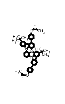 CC1OC1Oc1ccc(-c2ccc3c4cc(C(C)(C)C)cc5c4n(c3c2)-c2cccc3c2B5c2ccc(-c4ccc(OC5OC5C)cc4)c4c5cc(C(C)(C)C)ccc5n-3c24)cc1